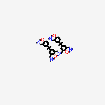 CN1COc2ccc(C(C)(C)c3cc4c(c(CN(C)Cc5cc(C(C)(C)c6ccc7c(c6)CN(C)CO7)cc6c5OCN(C)C6)c3)OCN(C)C4)cc2C1